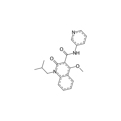 COc1c(C(=O)Nc2cccnc2)c(=O)n(CC(C)C)c2ccccc12